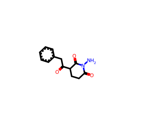 NN1C(=O)CCC(C(=O)Cc2ccccc2)C1=O